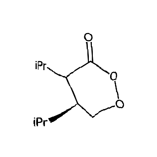 CC(C)C1C(=O)OOC[C@H]1C(C)C